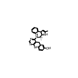 Cc1cc(-c2ccccc2)c([C@H](C)Nc2ncnc(N)c2Cc2cccc(O)c2)[nH]1